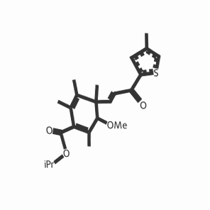 COC1C(C)=C(C(=O)OC(C)C)C(C)=C(C)C1(C)C=CC(=O)c1cc(C)cs1